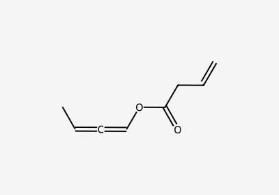 C=CCC(=O)OC=C=CC